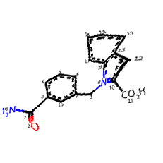 NC(=O)c1cccc(Cn2c(C(=O)O)cc3ccccc32)c1